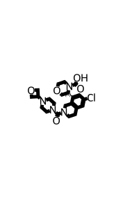 O=C(N1CCN(C2COC2)CC1)N1CCc2cc(Cl)cc([C@@H]3COCCN3C(=O)O)c2C1